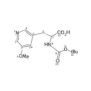 COc1cncc(CC(NC(=O)OC(C)(C)C)C(=O)O)c1